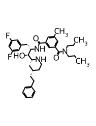 CCCN(CCC)C(=O)c1cc(C)cc(C(=O)N[C@@H](Cc2cc(F)cc(F)c2)[C@H](O)[C@H]2C[C@@H](CCc3ccccc3)CCN2)c1